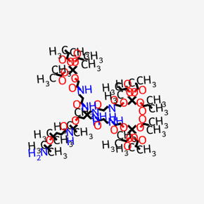 CC(CC(CNC(=O)CCNC(=O)COCC(COC(=O)C(C)C)(COC(=O)C(C)C)COC(=O)C(C)C)(CNC(=O)CCNC(=O)COCC(COC(=O)C(C)C)(COC(=O)C(C)C)COC(=O)C(C)C)CNC(=O)CCNC(=O)COCC(COC(=O)C(C)C)(COC(=O)C(C)C)COC(=O)C(C)C)OCC(C)(C)NC(=O)CCC(C)(C)OCC(C)(C)N